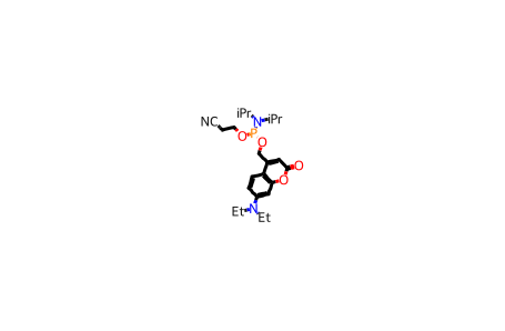 CCN(CC)c1ccc2c(COP(OCCC#N)N(C(C)C)C(C)C)cc(=O)oc2c1